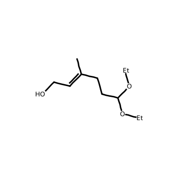 CCOC(CCC(C)=CCO)OCC